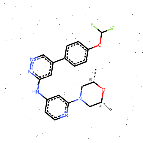 C[C@@H]1CN(c2cc(Nc3cc(-c4ccc(OC(F)F)cc4)cnn3)ccn2)C[C@H](C)O1